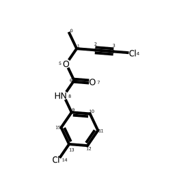 CC(C#CCl)OC(=O)Nc1cccc(Cl)c1